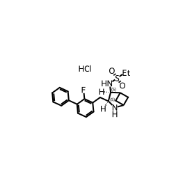 CCS(=O)(=O)N[C@H]1C2CC(C2)N[C@H]1Cc1cccc(-c2ccccc2)c1F.Cl